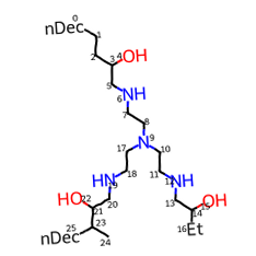 CCCCCCCCCCCCC(O)CNCCN(CCNCC(O)CC)CCNCC(O)C(C)CCCCCCCCCC